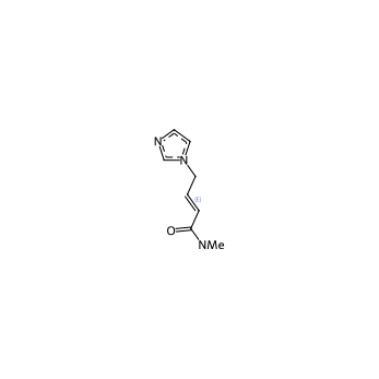 CNC(=O)/C=C/Cn1ccnc1